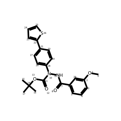 COc1cccc(C(=O)NN(C(=O)OC(C)(C)C)c2ccc(-c3cccs3)cc2)c1